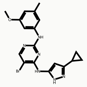 COc1cc(C)cc(Nc2ncc(Br)c(Nc3cc(C4CC4)n[nH]3)n2)c1